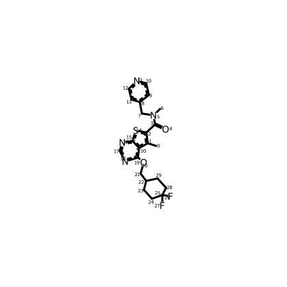 Cc1c(C(=O)N(C)Cc2ccncc2)sc2ncnc(OCC3CCC(F)(F)CC3)c12